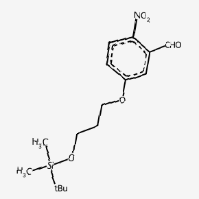 CC(C)(C)[Si](C)(C)OCCCOc1ccc([N+](=O)[O-])c(C=O)c1